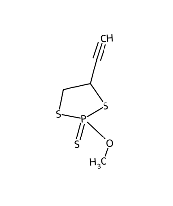 C#CC1CSP(=S)(OC)S1